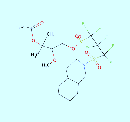 COC(COS(=O)(=O)C(F)(F)C(F)(F)C(F)(F)S(=O)(=O)N1CCC2CCCCC2C1)C(C)(C)OC(C)=O